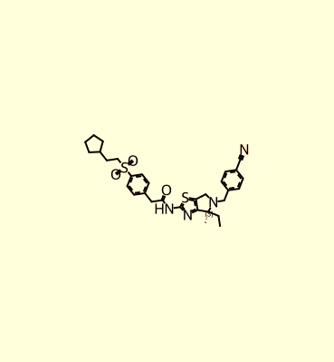 CC[C@@]1(C)c2nc(NC(=O)Cc3ccc(S(=O)(=O)CCC4CCCC4)cc3)sc2CN1Cc1ccc(C#N)cc1